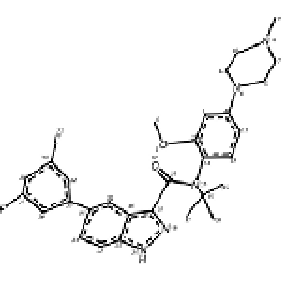 COc1cc(N2CCN(C)CC2)ccc1N(C(=O)c1n[nH]c2ccc(-c3cc(F)cc(F)c3)cc12)C(C)(C)C